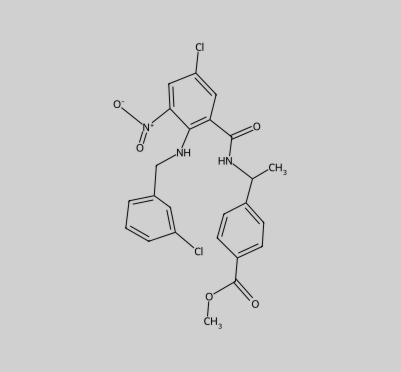 COC(=O)c1ccc(C(C)NC(=O)c2cc(Cl)cc([N+](=O)[O-])c2NCc2cccc(Cl)c2)cc1